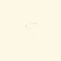 C=C(C)[C@H]1CCC(C)=CC1c1c(O)cc(CCCCC)cc1O